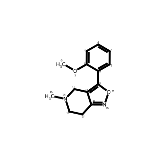 COc1ccccc1-c1onc2c1CN(C)CC2